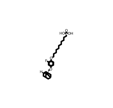 O=P(O)(O)CCCCCCCCCCCOc1ccc(OC[C@]23CC4CC(C[C@H](C4)C2)C3)cc1F